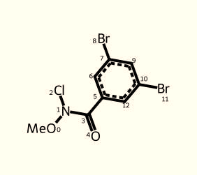 CON(Cl)C(=O)c1cc(Br)cc(Br)c1